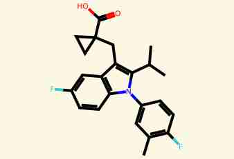 Cc1cc(-n2c(C(C)C)c(CC3(C(=O)O)CC3)c3cc(F)ccc32)ccc1F